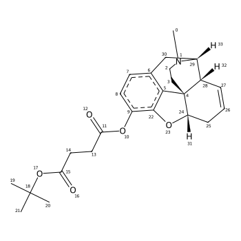 CN1CC[C@]23c4c5ccc(OC(=O)CCC(=O)OC(C)(C)C)c4O[C@H]2CC=C[C@H]3[C@H]1C5